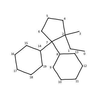 CCC1(C)CCCC1(C1CCCCC1)C1CCCCC1